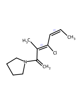 C=C(/C(C)=C(Cl)/C=C\C)N1CCCC1